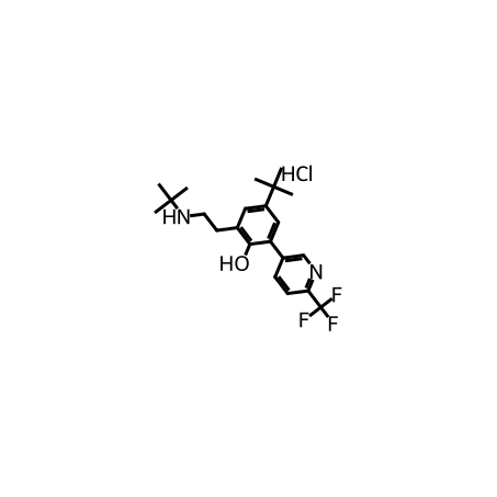 CC(C)(C)NCCc1cc(C(C)(C)C)cc(-c2ccc(C(F)(F)F)nc2)c1O.Cl